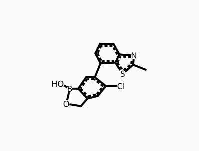 Cc1nc2cccc(-c3cc4c(cc3Cl)COB4O)c2s1